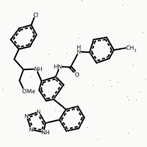 COCC(Cc1ccc(Cl)cc1)Nc1ccc(-c2ccccc2-c2nnn[nH]2)cc1NC(=O)Nc1ccc(C)cc1